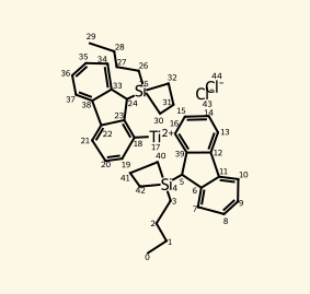 CCCC[Si]1(C2c3ccccc3-c3ccc[c]([Ti+2][c]4cccc5c4C([Si]4(CCCC)CCC4)c4ccccc4-5)c32)CCC1.[Cl-].[Cl-]